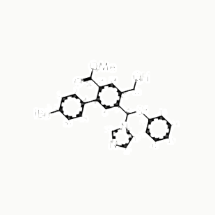 CCC(C)c1ccc(-c2cc(C(Sc3ccccc3)n3ccnc3)c(CO)cc2C(=O)OC)cc1